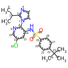 CC(C)c1nccn1-c1ncc(Cl)cc1NS(=O)(=O)c1ccc(C(C)(C)C)cc1